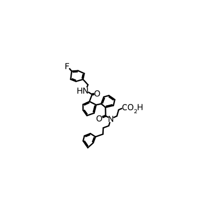 O=C(O)CCN(CCCc1ccccc1)C(=O)c1ccccc1-c1ccccc1C(=O)NCc1ccc(F)cc1